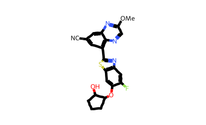 COc1cnc2c(-c3nc4cc(F)c(OC5CCCC5O)cc4s3)cc(C#N)cc2n1